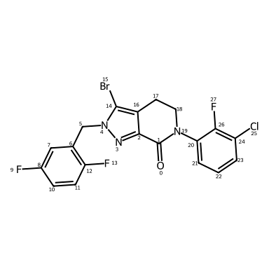 O=C1c2nn(Cc3cc(F)ccc3F)c(Br)c2CCN1c1cccc(Cl)c1F